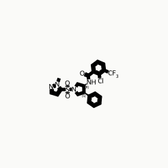 Cn1nccc1S(=O)(=O)N1C[C@H](NC(=O)c2cccc(C(F)(F)F)c2Cl)[C@@H](c2ccccc2)C1